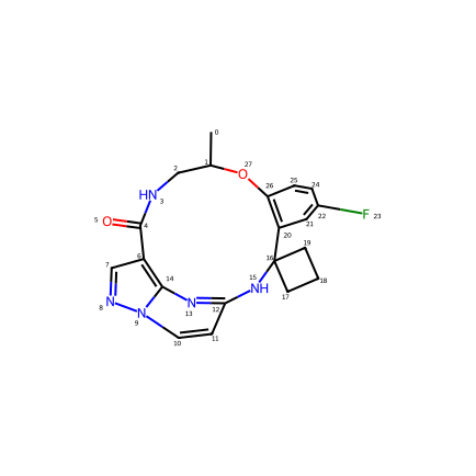 CC1CNC(=O)c2cnn3ccc(nc23)NC2(CCC2)c2cc(F)ccc2O1